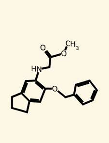 COC(=O)CNc1cc2c(cc1OCc1ccccc1)CCC2